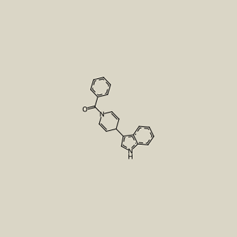 O=C(c1ccccc1)N1C=CC(c2c[nH]c3ccccc23)C=C1